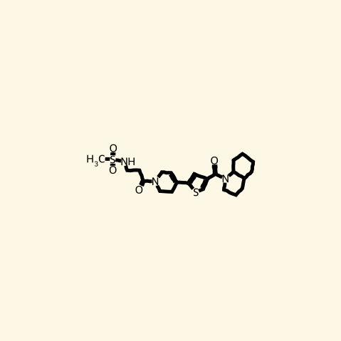 CS(=O)(=O)NCCC(=O)N1CC=C(c2cc(C(=O)N3CCCC4CCCCC43)cs2)CC1